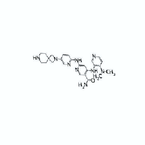 CN(C)c1ccncc1Nc1cc(Nc2ccc(N3CC4(CCNCC4)C3)cn2)ncc1C(N)=O